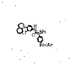 CC(=O)Nc1ccc(N(S)C(=O)Nc2ccc(N3CCCC4CCCCC43)c(Cl)c2)cc1